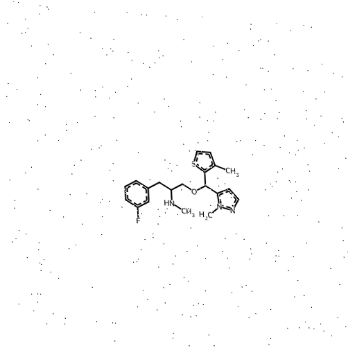 CNC(COC(c1sccc1C)c1ccnn1C)Cc1cccc(F)c1